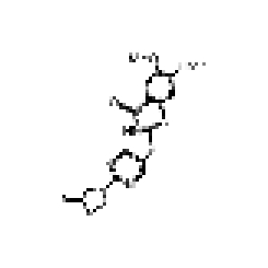 COc1cc2nc(Cc3ccc(N4CCC(F)C4)nc3)[nH]c(=O)c2cc1OC